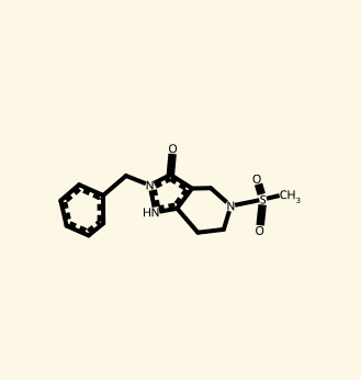 CS(=O)(=O)N1CCc2[nH]n(Cc3ccccc3)c(=O)c2C1